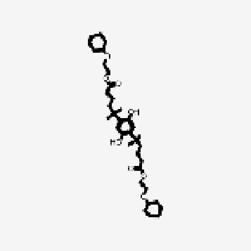 CC(C)(CCCC(=O)OCCOC1CCCCC1)c1cc(O)c(C(C)(C)CCCC(=O)OCCOC2CCCCC2)cc1O